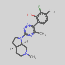 Cc1nc(N2CC[C@@H]3CCN(C)C[C@@H]32)nnc1-c1ccc(C(F)(F)F)c(F)c1O